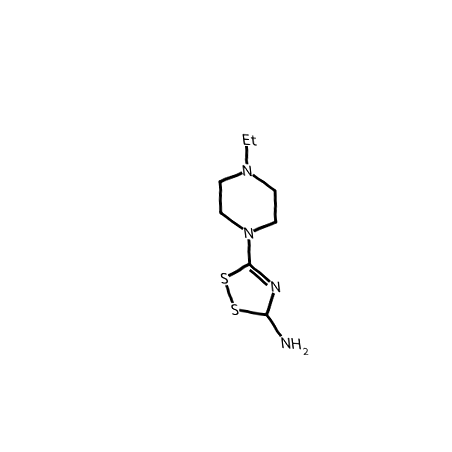 CCN1CCN(C2=NC(N)SS2)CC1